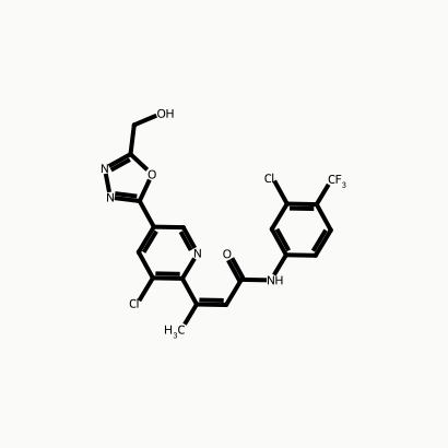 C/C(=C/C(=O)Nc1ccc(C(F)(F)F)c(Cl)c1)c1ncc(-c2nnc(CO)o2)cc1Cl